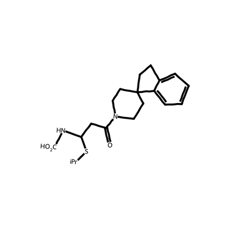 CC(C)SC(CC(=O)N1CCC2(CCc3ccccc32)CC1)NC(=O)O